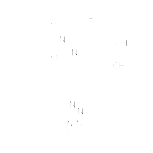 CC(C)CCc1c(CF)n(C(=O)C2CCCCC2)c(=O)n1Cc1ccc(-c2ccccc2-c2nnn[nH]2)cc1